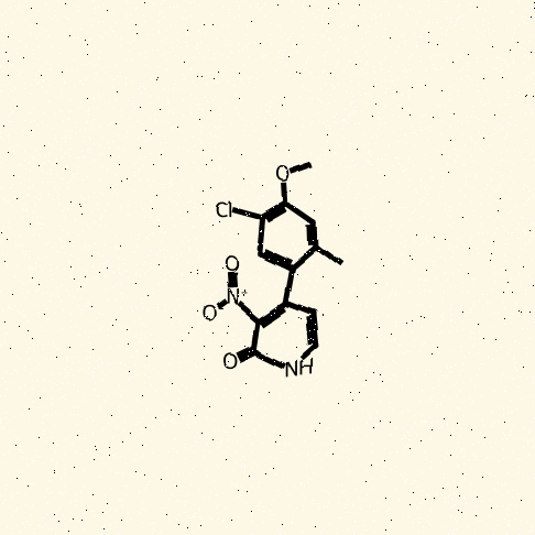 COc1cc(C)c(-c2cc[nH]c(=O)c2[N+](=O)[O-])cc1Cl